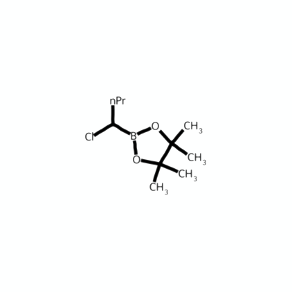 CCCC(Cl)B1OC(C)(C)C(C)(C)O1